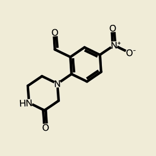 O=Cc1cc([N+](=O)[O-])ccc1N1CCNC(=O)C1